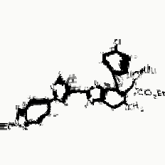 CCOC(=O)[C@@H](OC(C)(C)C)c1c(C)cc2nc(-c3ccnc(-c4ccc5nn(CC)cc5c4)c3)sc2c1-c1ccc(Cl)cc1